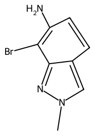 Cn1cc2ccc(N)c(Br)c2n1